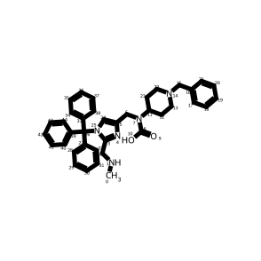 CNCc1nc(CN(C(=O)O)C2CCN(Cc3ccccc3)CC2)cn1C(c1ccccc1)(c1ccccc1)c1ccccc1